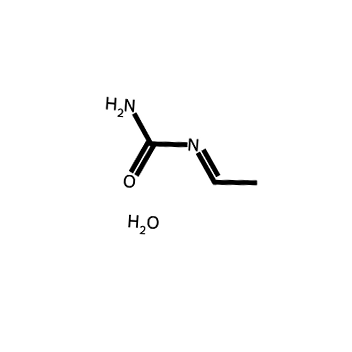 CC=NC(N)=O.O